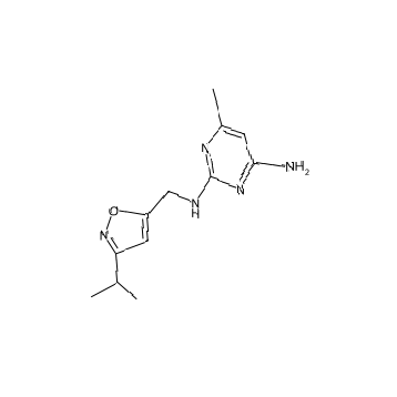 Cc1cc(N)nc(NCc2cc(C(C)C)no2)n1